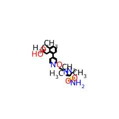 Cc1nn(C(C)(C)COc2cc(-c3cccc(C(C)C)c3CC(=O)O)ccn2)cc1S(N)(=O)=O